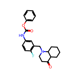 O=C(Nc1ccc(F)c(CN2CCC(=O)C3CCCCC32)c1)Oc1ccccc1